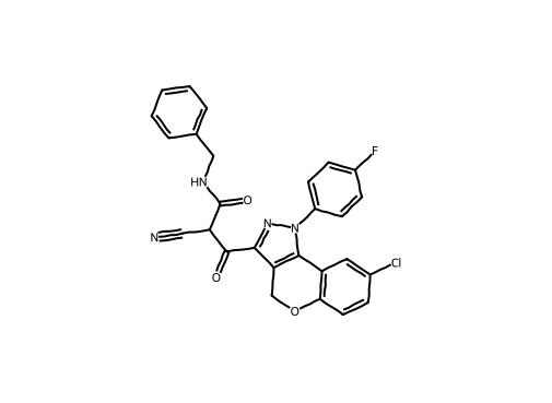 N#CC(C(=O)NCc1ccccc1)C(=O)c1nn(-c2ccc(F)cc2)c2c1COc1ccc(Cl)cc1-2